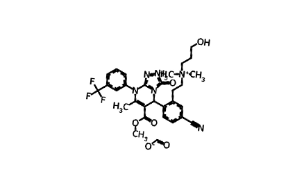 COC(=O)C1=C(C)N(c2cccc(C(F)(F)F)c2)c2n[nH]c(=O)n2C1c1ccc(C#N)cc1CC[N+](C)(C)CCCO.O=C[O-]